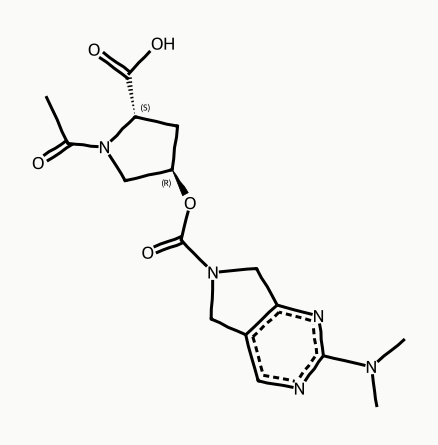 CC(=O)N1C[C@H](OC(=O)N2Cc3cnc(N(C)C)nc3C2)C[C@H]1C(=O)O